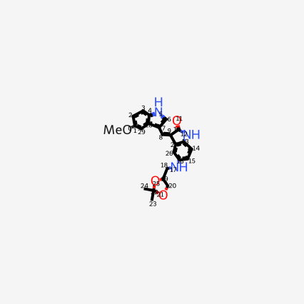 COc1ccc2[nH]cc(C=C3C(=O)Nc4ccc(NCC5COC(C)(C)O5)cc43)c2c1